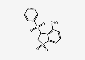 O=Cc1cccc2c1C(S(=O)(=O)c1ccccc1)CS2(=O)=O